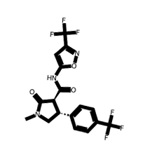 CN1C[C@@H](c2ccc(C(F)(F)F)cc2)[C@H](C(=O)Nc2cc(C(F)(F)F)no2)C1=O